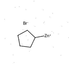 [Br-].[Zn+][CH]1CCCC1